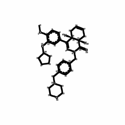 COc1ccc(C2=NN(Cc3ccc(CN4CCOCC4)cc3)C(=O)[C@H]3CC=CC[C@@H]23)cc1OC1CCCC1